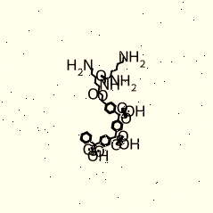 NCCCCC(N)C(=O)NC(CCCCN)C(=O)OCc1ccc(C(c2ccc(C(c3ccc(C(c4ccccc4)S(=O)(=O)O)cc3)S(=O)(=O)O)cc2)S(=O)(=O)O)cc1